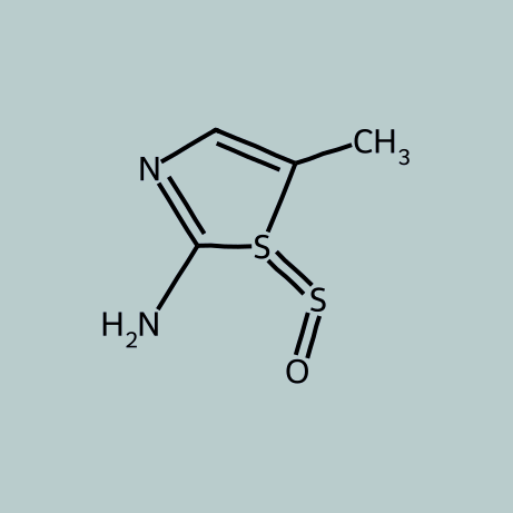 CC1=CN=C(N)S1=S=O